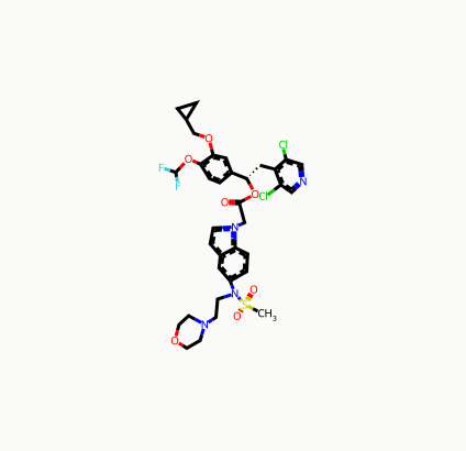 CS(=O)(=O)N(CCN1CCOCC1)c1ccc2c(ccn2CC(=O)O[C@@H](Cc2c(Cl)cncc2Cl)c2ccc(OC(F)F)c(OCC3CC3)c2)c1